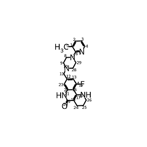 Cc1cccnc1N1CCN(Cc2cc(F)c3c4c(c(=O)[nH]c3c2)CCCN4)CC1